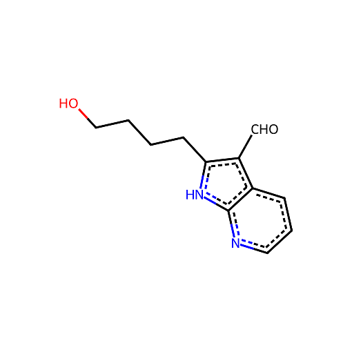 O=Cc1c(CCCCO)[nH]c2ncccc12